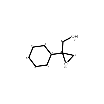 OCC1(C2CCCCC2)CO1